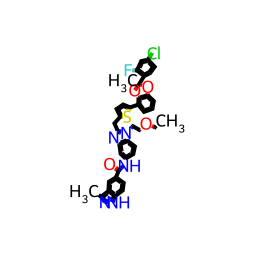 CCOCCn1c(Cc2ccc(-c3cccc4c3OC(C)(c3ccc(Cl)cc3F)O4)s2)nc2cc(NC(=O)c3ccc4[nH]nc(C)c4c3)ccc21